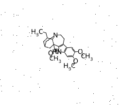 CCC1CC2CN3CCc4c([nH]c5cc(OC)c(OC)cc45)C(C(=O)OC)(C2)C13